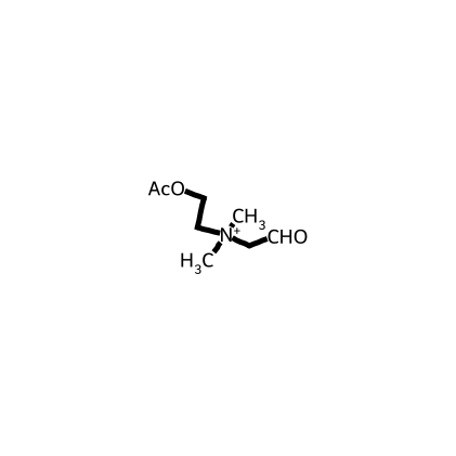 CC(=O)OCC[N+](C)(C)CC=O